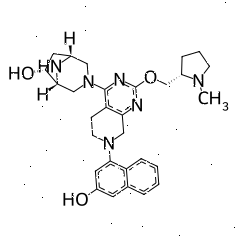 CN1CCC[C@H]1COc1nc2c(c(N3C[C@H]4C[C@@H](O)[C@@H](C3)N4)n1)CCN(c1cc(O)cc3ccccc13)C2